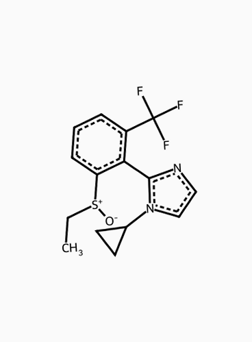 CC[S+]([O-])c1cccc(C(F)(F)F)c1-c1nccn1C1CC1